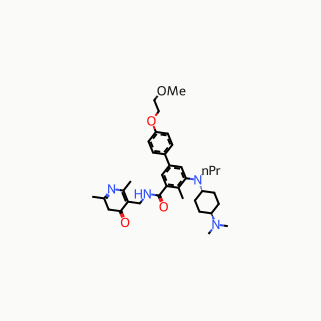 CCCN(c1cc(-c2ccc(OCCOC)cc2)cc(C(=O)NCC2=C(C)N=C(C)CC2=O)c1C)[C@H]1CC[C@H](N(C)C)CC1